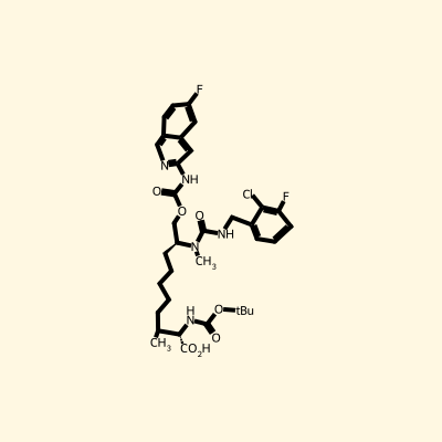 CC(CCCCC[C@@H](COC(=O)Nc1cc2cc(F)ccc2cn1)N(C)C(=O)NCc1cccc(F)c1Cl)[C@H](NC(=O)OC(C)(C)C)C(=O)O